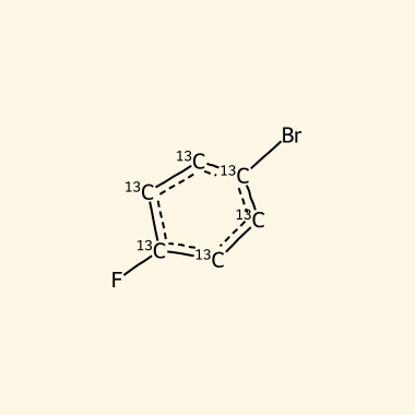 F[13c]1[13cH][13cH][13c](Br)[13cH][13cH]1